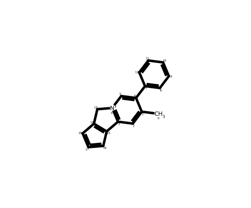 Cc1cc2[n+](cc1-c1ccccc1)CC1=C2C=C=C1